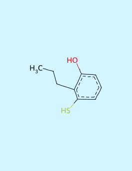 CCCc1c(O)cccc1S